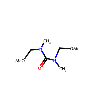 COCN(C)C(=O)N(C)COC